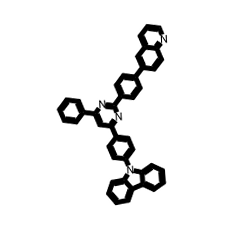 c1ccc(-c2cc(-c3ccc(-n4c5ccccc5c5ccccc54)cc3)nc(-c3ccc(-c4ccc5ncccc5c4)cc3)n2)cc1